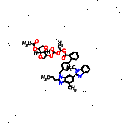 CCCc1nc2c(C)cc(-c3nc4ccccc4n3C)cc2n1Cc1ccc(-c2ccccc2C(=O)OC(C)OC(=O)O[C@H]2CO[C@H]3[C@@H]2OC[C@@H]3OC(C)=O)cc1